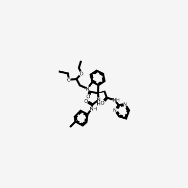 CCOC(CN1C(=O)[C@@](CC(=O)Nc2ncccn2)(NC(=O)Nc2ccc(C)cc2)c2ccccc21)OCC